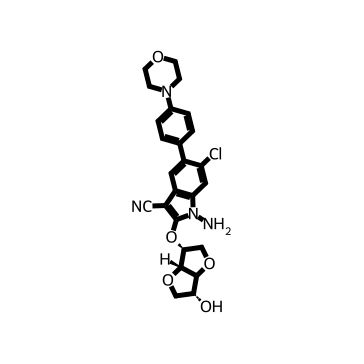 N#Cc1c(O[C@@H]2COC3[C@H](O)CO[C@@H]32)n(N)c2cc(Cl)c(-c3ccc(N4CCOCC4)cc3)cc12